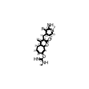 CNC(=N)OC1=Cc2oc(=O)c(Cc3ccnc(N)c3F)c(C)c2CC=C1